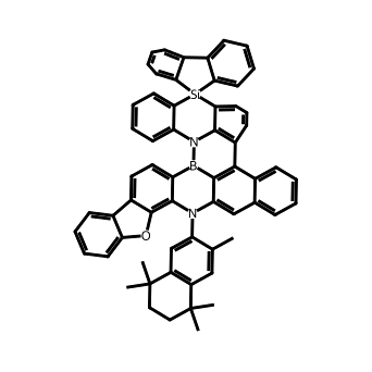 Cc1cc2c(cc1N1c3cc4ccccc4c4c3B(c3ccc5c(oc6ccccc65)c31)N1c3ccccc3[Si]3(c5ccccc5-c5ccccc53)c3cccc-4c31)C(C)(C)CCC2(C)C